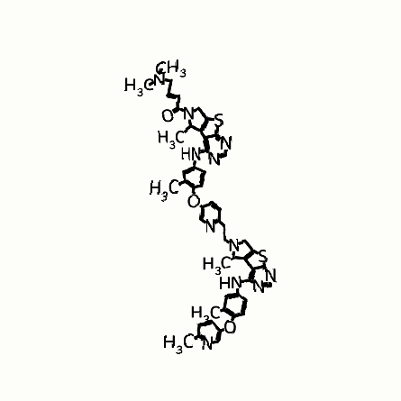 Cc1ccc(Oc2ccc(Nc3ncnc4sc5c(c34)C(C)N(CCc3ccc(Oc4ccc(Nc6ncnc7sc8c(c67)C(C)N(C(=O)/C=C/CN(C)C)C8)cc4C)cn3)C5)cc2C)cn1